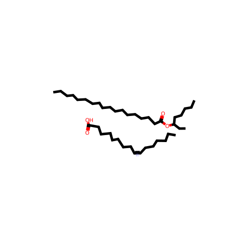 CCCCCC/C=C\CCCCCCCC(=O)O.CCCCCCCCCCCCCCCCCC(=O)OC(CC)CCCCC